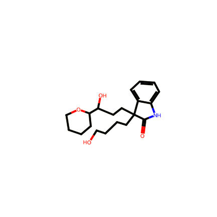 O=C1Nc2ccccc2C1(CCCCO)CCC(O)C1CCCCO1